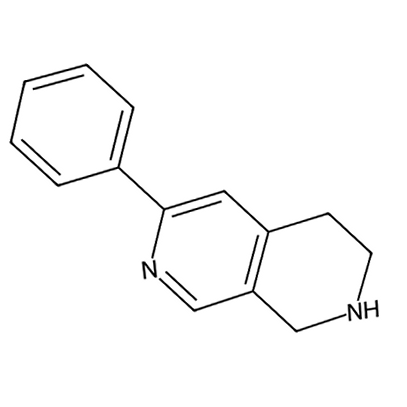 c1ccc(-c2cc3c(cn2)CNCC3)cc1